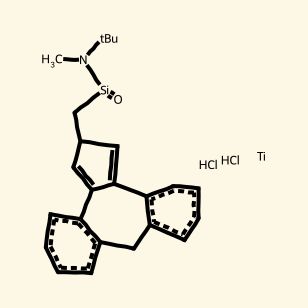 CN([Si](=O)CC1C=C2C(=C1)c1ccccc1Cc1ccccc12)C(C)(C)C.Cl.Cl.[Ti]